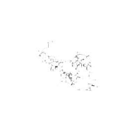 CCCC[Si](C)(C)O[Si](C)(C)O[Si](C)(C)O[Si](C)(C)O[Si](C)(C)O[Si](C)(C)O[Si](C)(C)O[Si](C)(C)O[Si](C)(C)O[Si](C)(C)O[Si](C)(C)O[Si](C)(C)O[Si](C)(C)CCCCS(=O)(=O)OC